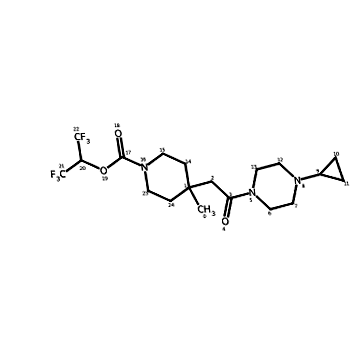 CC1(CC(=O)N2CCN(C3CC3)CC2)CCN(C(=O)OC(C(F)(F)F)C(F)(F)F)CC1